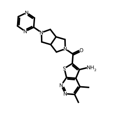 Cc1nnc2sc(C(=O)N3CC4CN(c5cnccn5)CC4C3)c(N)c2c1C